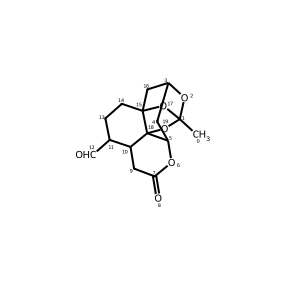 CC12OC3CC4OC(=O)CC5C(C=O)CCC(C3)(O1)C45O2